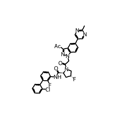 CC(=O)c1nn(CC(=O)N2C[C@H](F)C[C@H]2C(=O)Nc2cccc(-c3ccccc3Cl)c2F)c2ccc(-c3cnc(C)nc3)cc12